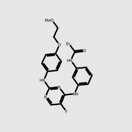 CCC(=O)Nc1cccc(Nc2nc(Nc3ccc(OCCOC)cc3)ncc2F)c1